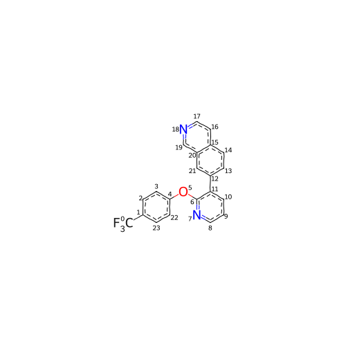 FC(F)(F)c1ccc(Oc2ncccc2-c2ccc3ccncc3c2)cc1